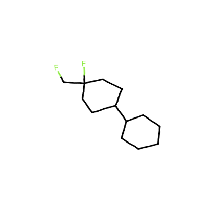 FCC1(F)CCC(C2CCCCC2)CC1